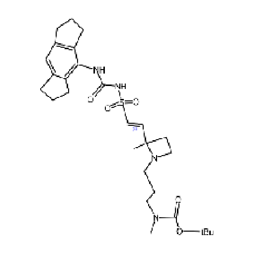 CN(CCCN1CCC1(C)/C=C/S(=O)(=O)NC(=O)Nc1c2c(cc3c1CCC3)CCC2)C(=O)OC(C)(C)C